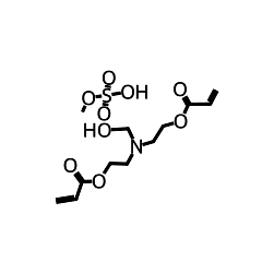 C=CC(=O)OCCN(CO)CCOC(=O)C=C.COS(=O)(=O)O